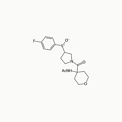 CC(=O)NC1(C(=O)N2CCC([S+]([O-])c3ccc(F)cc3)C2)CCOCC1